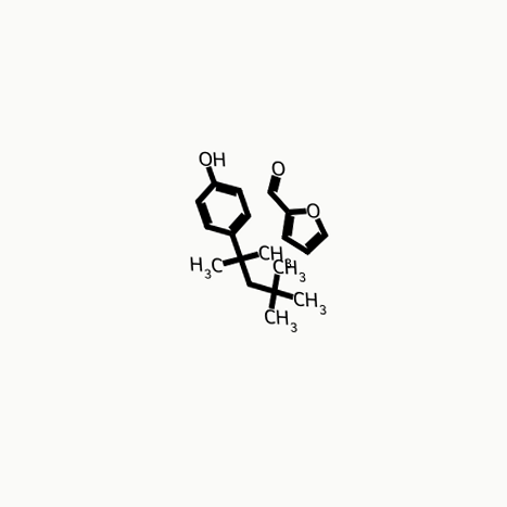 CC(C)(C)CC(C)(C)c1ccc(O)cc1.O=Cc1ccco1